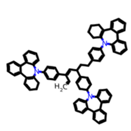 C=C/C(=C\C(CCc1ccc(N2C3=C(CCCC3)c3ccccc3-c3ccccc32)cc1)C1=CCC(N2c3ccccc3-c3ccccc3-c3ccccc32)C=C1)c1ccc(N2C3=C(C=CCC3)c3ccccc3-c3ccccc32)cc1